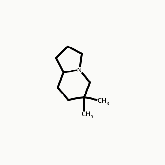 CC1(C)CCC2CCCN2C1